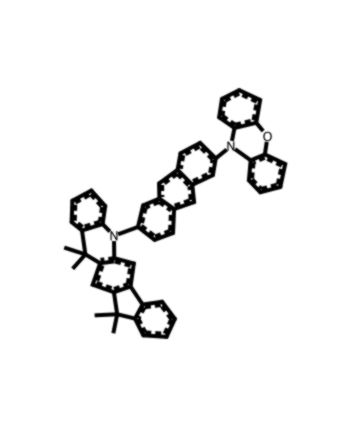 CC1(C)c2ccccc2-c2cc3c(cc21)C(C)(C)c1ccccc1N3c1ccc2cc3cc(N4c5ccccc5Oc5ccccc54)ccc3cc2c1